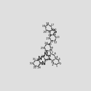 c1ccc2c(c1)cc1c3cc(-c4ccc5sc6ccccc6c5c4)ccc3n3c4nc5ccccc5nc4c2c13